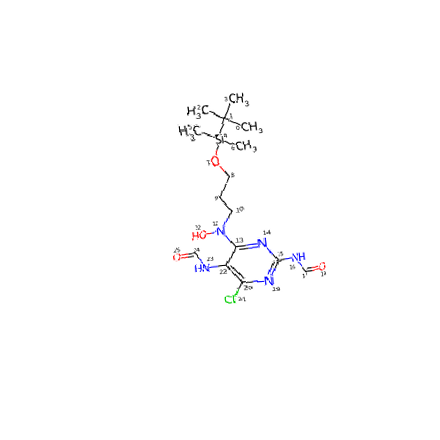 CC(C)(C)[Si](C)(C)OCCCN(O)c1nc(NC=O)nc(Cl)c1NC=O